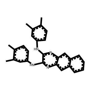 Cc1ccc(Nc2nc3cc4ccccc4cc3nc2Nc2ccc(C)c(C)c2)cc1C